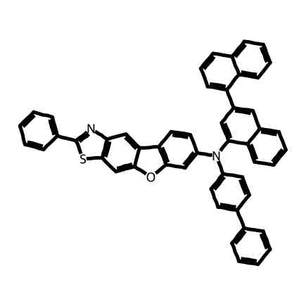 c1ccc(-c2ccc(N(c3ccc4c(c3)oc3cc5sc(-c6ccccc6)nc5cc34)c3cc(-c4cccc5ccccc45)cc4ccccc34)cc2)cc1